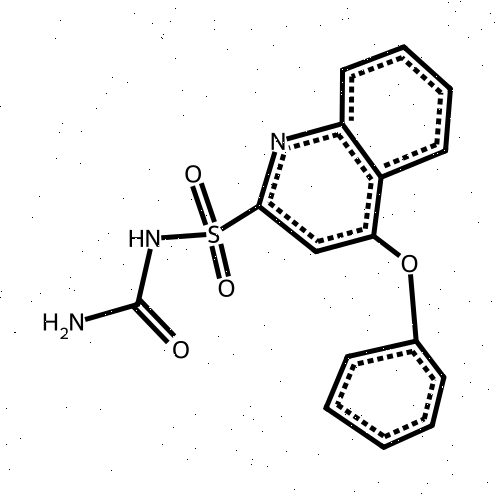 NC(=O)NS(=O)(=O)c1cc(Oc2ccccc2)c2ccccc2n1